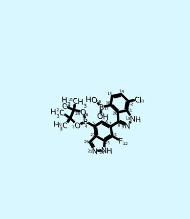 CC1(C)OB(c2cc(-c3n[nH]c4c(Cl)ccc(B(O)O)c34)c(F)c3[nH]ncc23)OC1(C)C